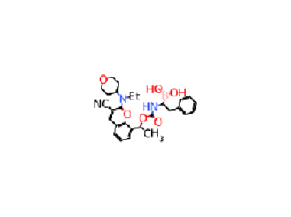 CCN(C(=O)C(C#N)=Cc1cccc(C(C)OC(=O)NC(Cc2ccccc2)B(O)O)c1)C1CCOCC1